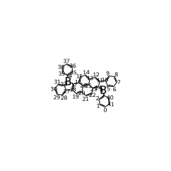 c1ccc(B2c3ccccc3-c3cc4ccc5c6c(cc7ccc(c32)c4c75)-c2ccccc2B6c2ccccc2)cc1